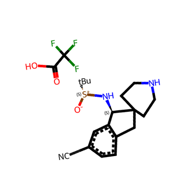 CC(C)(C)[S@@+]([O-])N[C@@H]1c2cc(C#N)ccc2CC12CCNCC2.O=C(O)C(F)(F)F